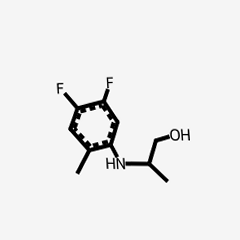 Cc1cc(F)c(F)cc1NC(C)CO